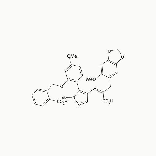 CCn1ncc(C=C(Cc2cc3c(cc2OC)OCO3)C(=O)O)c1-c1ccc(OC)cc1OCc1ccccc1C(=O)O